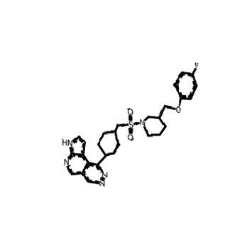 O=S(=O)(CC1CCC(c2nncc3cnc4[nH]ccc4c23)CC1)N1CCCC(COc2ccc(F)cc2)C1